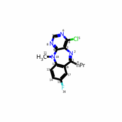 CCCC1=Nc2c(Cl)ncnc2N(C)c2ccc(F)cc21